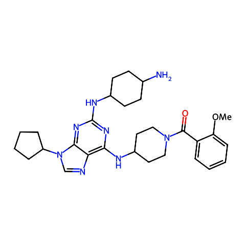 COc1ccccc1C(=O)N1CCC(Nc2nc(NC3CCC(N)CC3)nc3c2ncn3C2CCCC2)CC1